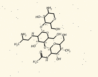 CC(=O)NC1[C@H](O[C@@H]2C(CO)O[C@@H](O[C@@H]3C(CO)OCC(N)[C@H]3O)C(NCC(C)N)[C@H]2O)OC(CO)[C@H](C)[C@@H]1O